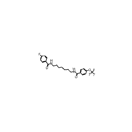 O=C(NCCCCCCCNC(=O)c1ccc(OC(F)(F)F)cc1)c1ccc(F)cc1